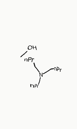 CCCN(CCC)CCC.CO